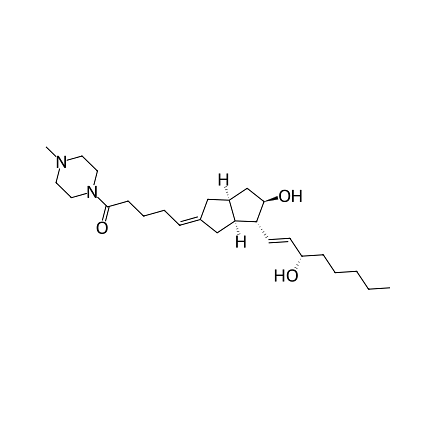 CCCCC[C@H](O)/C=C/[C@@H]1[C@H]2C/C(=C/CCCC(=O)N3CCN(C)CC3)C[C@H]2C[C@H]1O